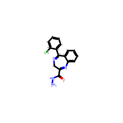 NNC(=O)C1=Nc2ccccc2C(c2ccccc2Cl)=NC1